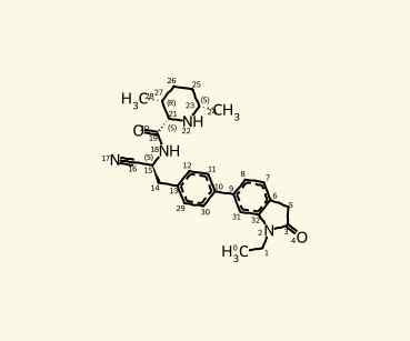 CCN1C(=O)Cc2ccc(-c3ccc(C[C@@H](C#N)NC(=O)[C@H]4N[C@@H](C)CC[C@H]4C)cc3)cc21